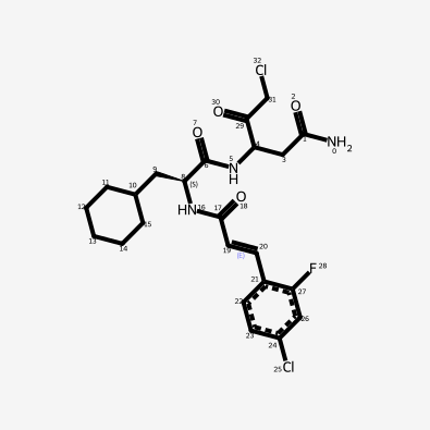 NC(=O)CC(NC(=O)[C@H](CC1CCCCC1)NC(=O)/C=C/c1ccc(Cl)cc1F)C(=O)CCl